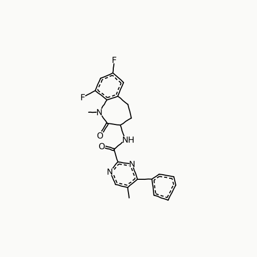 Cc1cnc(C(=O)NC2CCc3cc(F)cc(F)c3N(C)C2=O)nc1-c1ccccc1